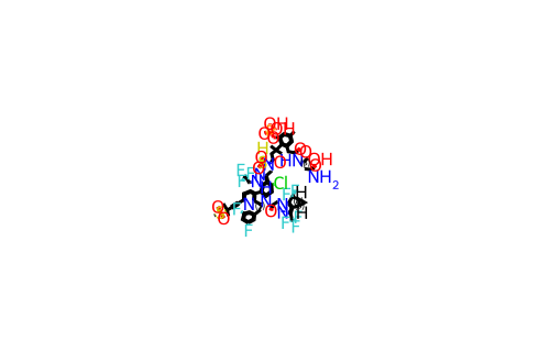 Cc1cc(CC(=O)N[C@@H](CC(N)=O)C(=O)O)c(C(C)(C)CC(=O)N(Cc2nn(CC(F)(F)F)c3c(-c4ccc(C#CC(C)(C)S(C)(=O)=O)nc4[C@H](Cc4cc(F)cc(F)c4)NC(=O)Cn4nc(C(F)(F)F)c5c4C(F)(F)[C@@H]4C[C@H]54)ccc(Cl)c23)[SH](=O)=O)c(OP(=O)(O)O)c1